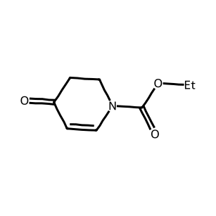 CCOC(=O)N1C=CC(=O)CC1